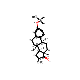 CC(C)(C)[Si](C)(C)Oc1ccc2c(c1)CC[C@@H]1[C@@H]2CC[C@]2(C)C(=O)C(C=O)C[C@@H]12